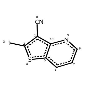 N#Cc1c(I)sc2cccnc12